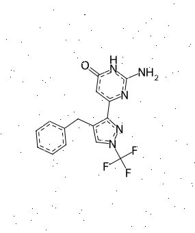 Nc1nc(-c2nn(C(F)(F)F)cc2Cc2ccccc2)cc(=O)[nH]1